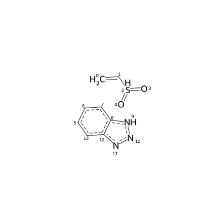 C=C[SH](=O)=O.c1ccc2[nH]nnc2c1